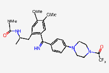 CNC(=O)NC(C)Cc1cc(OC)c(OC)cc1C(=N)c1ccc(N2CCN(C(=O)C(F)(F)F)CC2)cc1